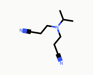 CC(C)N(CCC#N)CCC#N